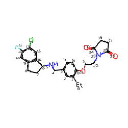 CCc1cc(CNC2CCc3cc(F)c(Cl)cc32)ccc1OCCN1C(=O)CCC1=O